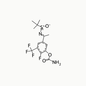 CC(=N[S@+]([O-])C(C)(C)C)c1cc(OC(N)=O)c(F)c(C(F)(F)F)c1